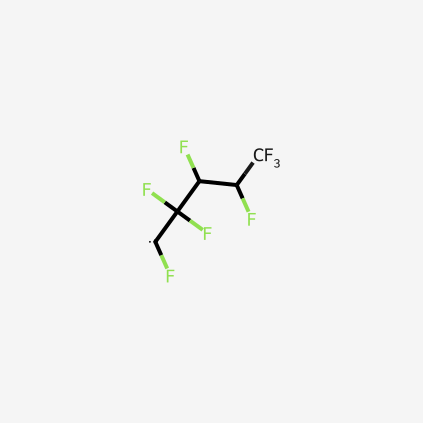 F[CH]C(F)(F)C(F)C(F)C(F)(F)F